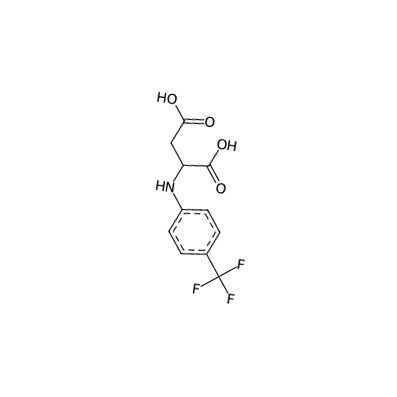 O=C(O)CC(Nc1ccc(C(F)(F)F)cc1)C(=O)O